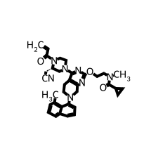 C=CC(=O)N1CCN(c2nc(OCCN(C)C(=O)C3CC3)nc3c2CCN(c2cccc4cccc(C)c24)C3)C[C@@H]1CC#N